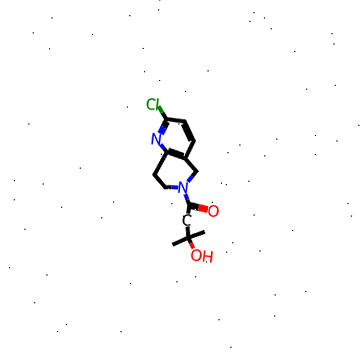 CC(C)(O)CC(=O)N1CCc2nc(Cl)ccc2C1